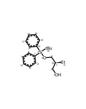 CC[C@@H](CO)CO[Si](c1ccccc1)(c1ccccc1)C(C)(C)C